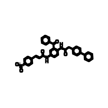 O=C(/C=C/c1ccc([N+](=O)[O-])cc1)Nc1ccc(NC(=O)Cc2ccc(-c3ccccc3)cc2)c(C(=O)c2ccccc2)c1